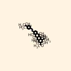 CC(=O)C1=C(O)C(C(C)C)[C@@]2(C)[C@H](O)[C@]3(C)C(=C(O)[C@@]2(O)C1=O)C(=O)c1c(ccc(/C=C/c2ccc(C(C)(C)C)cc2)c1O)[C@H]3C